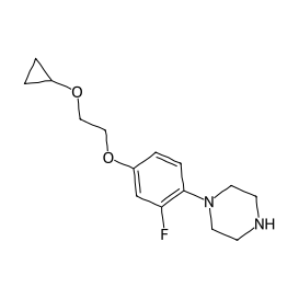 Fc1cc(OCCOC2CC2)ccc1N1CCNCC1